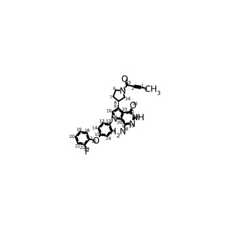 CC#CC(=O)N1CC[C@H](c2cn(-c3ccc(Oc4ccccc4F)cc3)c3c(N)n[nH]c(=O)c23)C1